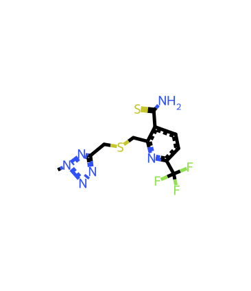 Cn1nnc(CSCc2nc(C(F)(F)F)ccc2C(N)=S)n1